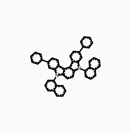 c1ccc(-c2ccc3c4c5c6ccc(-c7ccccc7)cc6n(-c6cccc7ccccc67)c5ccc4n(-c4cccc5ccccc45)c3c2)cc1